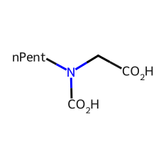 CCCCCN(CC(=O)O)C(=O)O